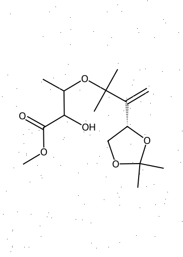 C=C([C@H]1COC(C)(C)O1)C(C)(C)OC(C)C(O)C(=O)OC